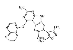 COc1cc2c(cc1-c1c(C)noc1C)[nH]c1nc(C)nc(Oc3ccnc4ccccc34)c12